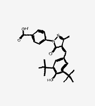 CC1=NN(c2ccc(C(=O)O)cc2)C(=O)C1=Cc1cc(C(C)(C)C)c(O)c(C(C)(C)C)c1